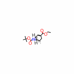 CCOC(=O)C1=C[C@H]2[C@@H]([C@@H](C)C1)N2C(=O)OC(C)(C)C